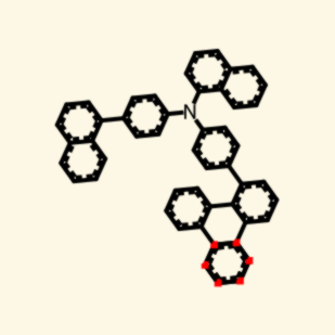 c1ccc(-c2ccccc2-c2c(-c3ccccc3)cccc2-c2ccc(N(c3ccc(-c4cccc5ccccc45)cc3)c3cccc4ccccc34)cc2)cc1